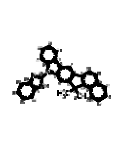 CC1(C)c2cc3c(cc2-c2ccc4ccccc4c21)c1ccccc1n3-c1nc2ccccc2s1